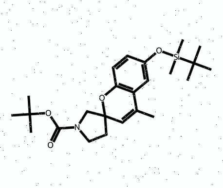 CC1=CC2(CCN(C(=O)OC(C)(C)C)C2)Oc2ccc(O[Si](C)(C)C(C)(C)C)cc21